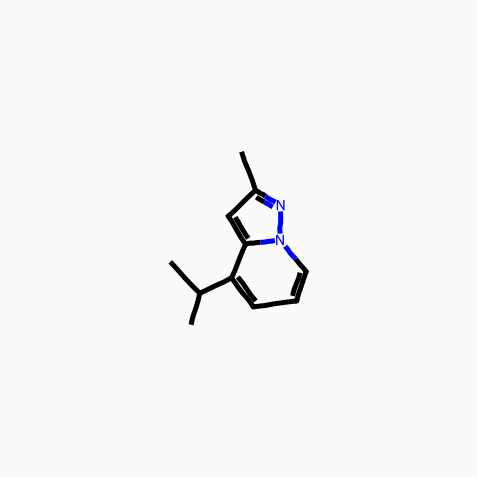 Cc1cc2c(C(C)C)cccn2n1